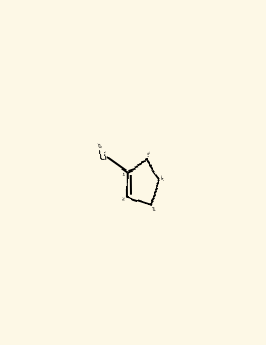 [Li][C]1=CCCC1